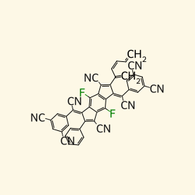 C=C/C=C\C(=C)C1=C(C#N)c2c(F)c3c(c(F)c2/C1=C(\C#N)c1cc(C#N)cc(C#N)c1)C(C#N)=C(c1ccccc1)/C3=C(/C#N)c1cc(C#N)cc(C#N)c1